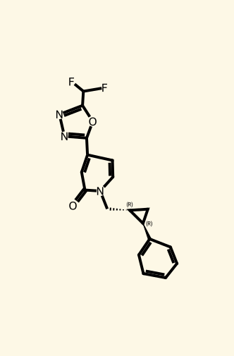 O=c1cc(-c2nnc(C(F)F)o2)ccn1C[C@@H]1C[C@H]1c1ccccc1